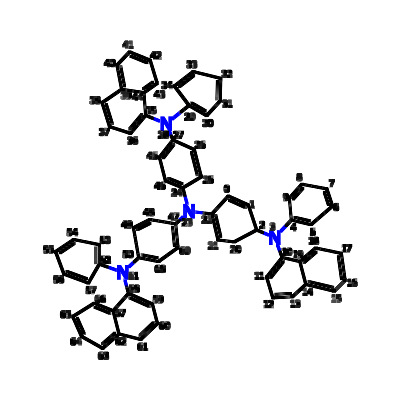 C1=CC(N(c2ccccc2)c2cccc3ccccc23)CC=C1N(c1ccc(N(c2ccccc2)c2cccc3ccccc23)cc1)c1ccc(N(c2ccccc2)c2cccc3ccccc23)cc1